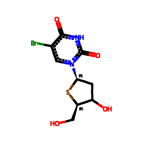 O=c1[nH]c(=O)n([C@@H]2CC(O)[C@@H](CO)S2)cc1Br